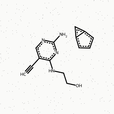 C#Cc1cnc(N)nc1NCCO.c1cc2cc-2c1